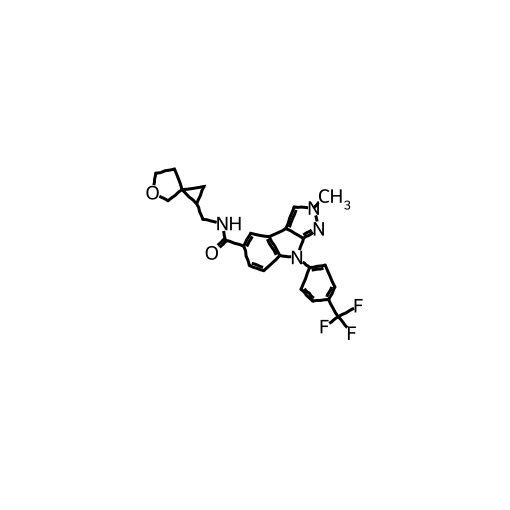 Cn1cc2c3cc(C(=O)NCC4CC45CCOC5)ccc3n(-c3ccc(C(F)(F)F)cc3)c2n1